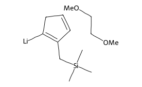 COCCOC.[Li][C]1=C(C[Si](C)(C)C)C=CC1